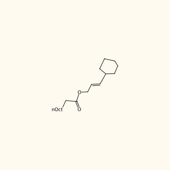 CCCCCCCCCC(=O)OCC=CC1CCCCC1